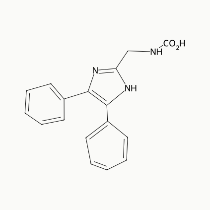 O=C(O)NCc1nc(-c2ccccc2)c(-c2ccccc2)[nH]1